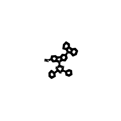 N#Cc1ccc2c3cc(-n4c5ccccc5c5ccccc54)ccc3n(-c3nc(-c4ccccc4)nc(-c4ccccc4)n3)c2c1